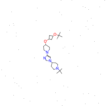 CC(C)(C)OC1CC(OC2CCN(c3cn(C4CCN(C(C)(C)C)CC4)cn3)CC2)C1